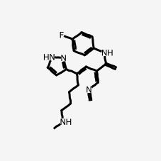 C=N/C=C(\C=C(/CCCCNC)c1cc[nH]n1)C(=C)Nc1ccc(F)cc1